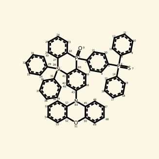 O=P1(c2ccc(P(=S)(c3ccccc3)c3ccccc3)cc2)c2ccccc2[Si](c2ccccc2)(c2ccccc2)c2cc(N3c4ccccc4Oc4ccccc43)ccc21